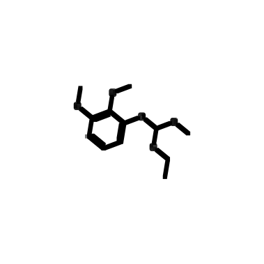 CCOC(OC)Oc1cc[c]c(OC)c1OC